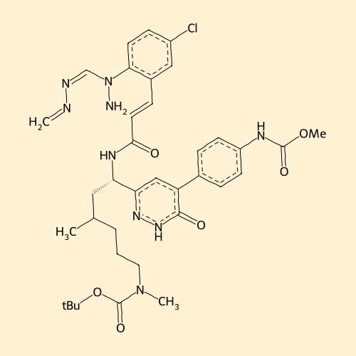 C=N/N=C\N(N)c1ccc(Cl)cc1/C=C/C(=O)N[C@@H](CC(C)CCCN(C)C(=O)OC(C)(C)C)c1cc(-c2ccc(NC(=O)OC)cc2)c(=O)[nH]n1